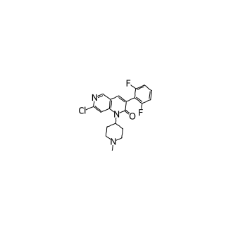 CN1CCC(n2c(=O)c(-c3c(F)cccc3F)cc3cnc(Cl)cc32)CC1